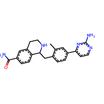 Cc1cc(-c2ccnc(N)n2)ccc1CC1NCCc2cc(C(N)=O)ccc21